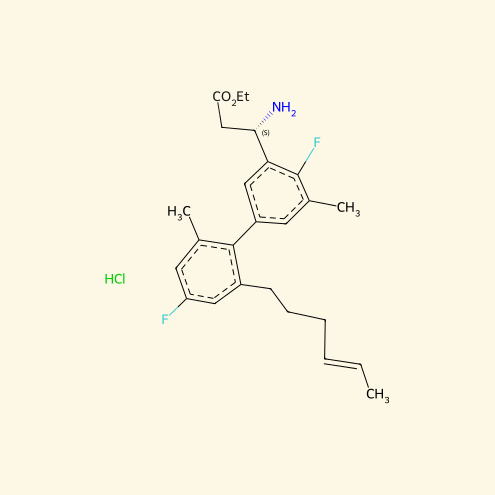 CC=CCCCc1cc(F)cc(C)c1-c1cc(C)c(F)c([C@@H](N)CC(=O)OCC)c1.Cl